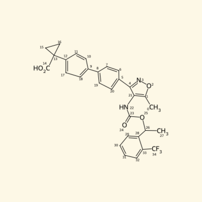 Cc1onc(-c2ccc(-c3ccc(C4(C(=O)O)CC4)cc3)cc2)c1NC(=O)OC(C)c1ccccc1C(F)(F)F